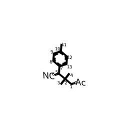 CC(=O)CC(C)(C)C(C#N)c1ccc(C)cc1